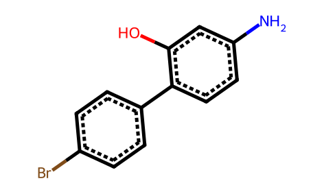 Nc1ccc(-c2ccc(Br)cc2)c(O)c1